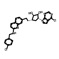 O[C@@H]1[C@@H](CCc2ccc3ccc(NCc4ccc(Cl)cc4)nc3c2)C[C@@H](n2ccc3c(Cl)ncnc32)[C@@H]1O